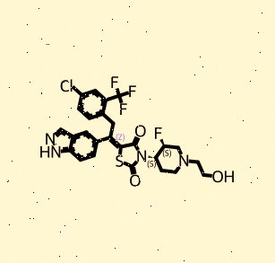 O=C1S/C(=C(/Cc2ccc(Cl)cc2C(F)(F)F)c2ccc3[nH]ncc3c2)C(=O)N1[C@H]1CCN(CCO)C[C@@H]1F